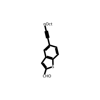 CCCCCCCCC#Cc1ccc2sc(C=O)cc2c1